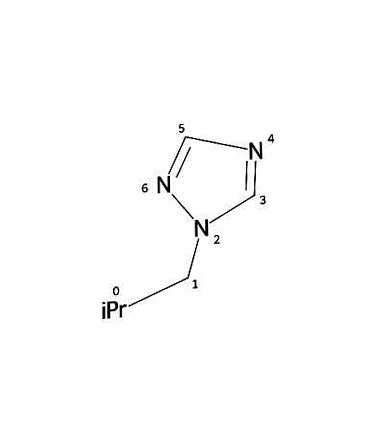 CC(C)Cn1cncn1